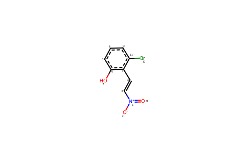 O=[N+]([O-])C=Cc1c(O)cccc1Br